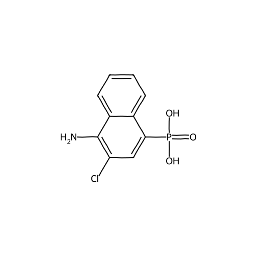 Nc1c(Cl)cc(P(=O)(O)O)c2ccccc12